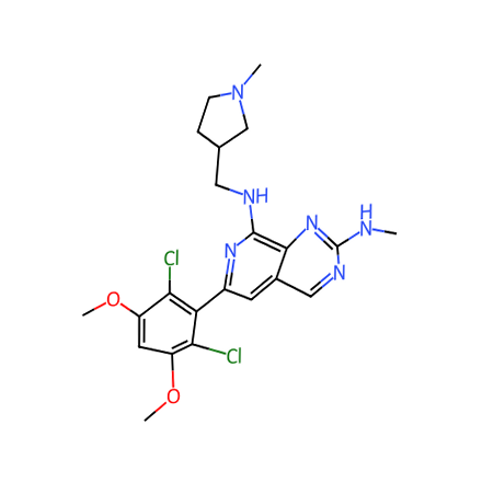 CNc1ncc2cc(-c3c(Cl)c(OC)cc(OC)c3Cl)nc(NCC3CCN(C)C3)c2n1